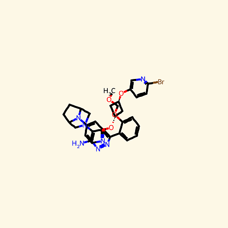 COCOc1ccccc1-c1cc(N2CC3CCC(C2)N3c2ccnc(O[C@H]3C[C@H](Oc4ccc(Br)nc4)C3)c2)c(N)nn1